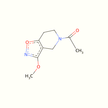 COc1noc2c1CN(C(C)=O)CC2